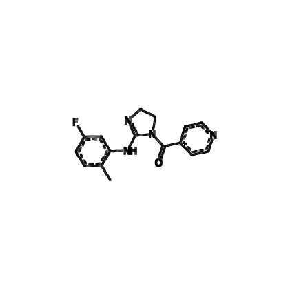 Cc1ccc(F)cc1NC1=NCCN1C(=O)c1ccncc1